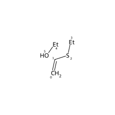 C=CSCC.CCO